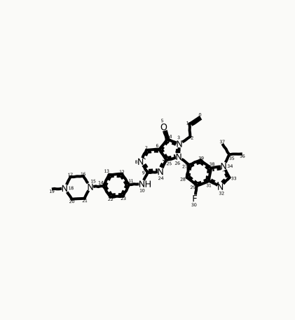 C=CCn1c(=O)c2cnc(Nc3ccc(N4CCN(C)CC4)cc3)nc2n1-c1cc(F)c2ncn(C(C)C)c2c1